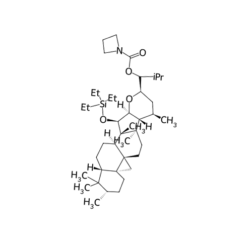 CC[Si](CC)(CC)O[C@H]1[C@H]2O[C@@H](C(OC(=O)N3CCC3)C(C)C)C[C@@H](C)[C@@H]2[C@@]2(C)CC[C@@]34C[C@@]35CC[C@H](C)C(C)(C)[C@@H]5CC[C@H]4[C@]12C